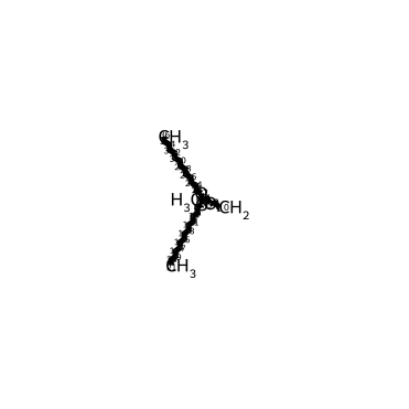 C=CCOCC(C)(OCCCCCCCCCCCCCC)OCCCCCCCCCCCCCC